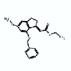 CCOC(=O)C=C1CCc2cc(OC)cc(OCc3ccccc3)c21